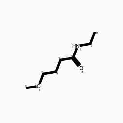 CCNC(=O)CCCOC